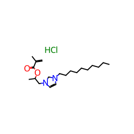 C=C(C)C(=O)OC(C)CN1C=CN(CCCCCCCCCC)C1.Cl